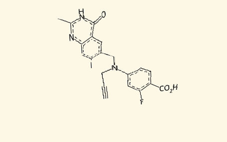 C#CCN(Cc1cc2c(=O)[nH]c(C)nc2cc1C)c1ccc(C(=O)O)c(F)c1